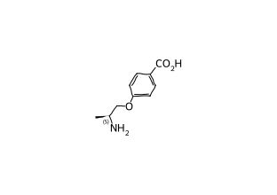 C[C@H](N)COc1ccc(C(=O)O)cc1